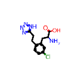 N[C@@H](Cc1cc(Cl)ccc1CCc1nnn[nH]1)C(=O)O